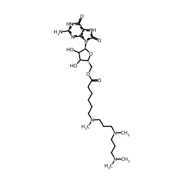 CN(C)CCCN(C)CCCN(C)CCCCCC(=O)OC[C@@H]1O[C@H](n2c(=O)[nH]c3c(=O)[nH]c(N)nc32)C(O)C1O